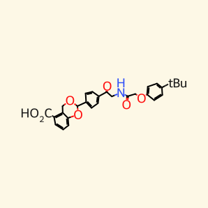 CC(C)(C)c1ccc(OCC(=O)NCC(=O)c2ccc(C3OCc4c(cccc4C(=O)O)O3)cc2)cc1